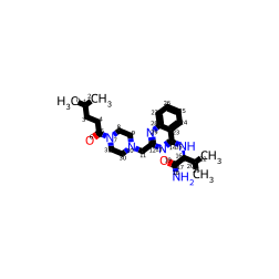 CC(C)CCC(=O)N1CCN(Cc2nc(N[C@H](C(N)=O)C(C)C)c3ccccc3n2)CC1